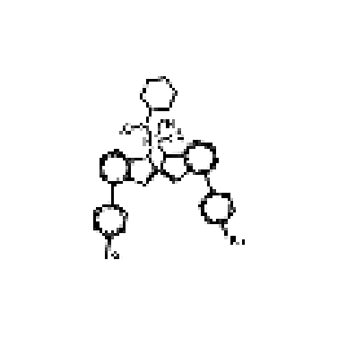 C[Si](C1CCCCC1)=[Hf]([CH3])([CH3])([CH]1C=Cc2c(-c3ccc(C(C)(C)C)cc3)cccc21)[CH]1C=Cc2c(-c3ccc(C(C)(C)C)cc3)cccc21